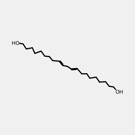 OCCCCCCCCC=CCC=CCCCCCCCCO